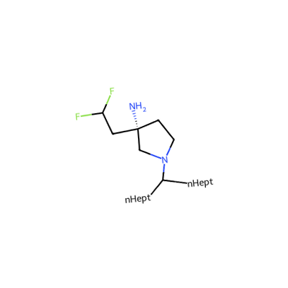 CCCCCCCC(CCCCCCC)N1CC[C@](N)(CC(F)F)C1